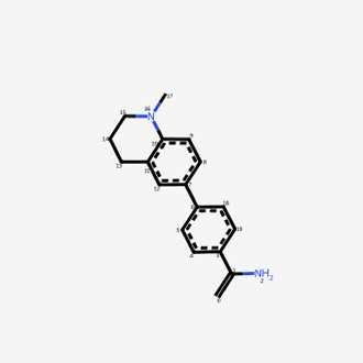 C=C(N)c1ccc(-c2ccc3c(c2)CCCN3C)cc1